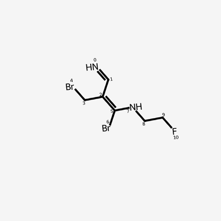 N=C/C(CBr)=C(/Br)NCCF